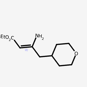 CCOC(=O)/C=C(\N)CC1CCOCC1